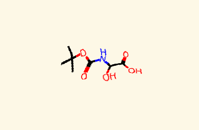 CC(C)(C)OC(=O)NC(O)C(=O)O